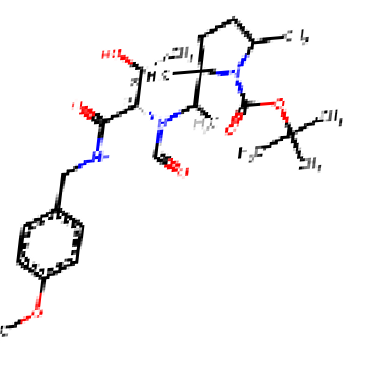 COc1ccc(CNC(=O)[C@H]([C@@H](C)O)N(C=O)C(C)C2(C)CCC(C)N2C(=O)OC(C)(C)C)cc1